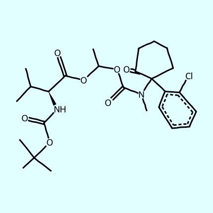 CC(OC(=O)[C@@H](NC(=O)OC(C)(C)C)C(C)C)OC(=O)N(C)C1(c2ccccc2Cl)CCCCC1=O